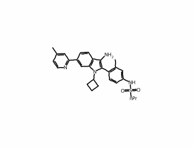 CCCS(=O)(=O)Nc1ccc(-c2c(N)c3ccc(-c4cc(C)ccn4)cc3n2C2CCC2)c(C)c1